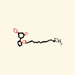 CCCCCCCCCCCCOc1ccccc1C1CC(=O)CC(=O)C1